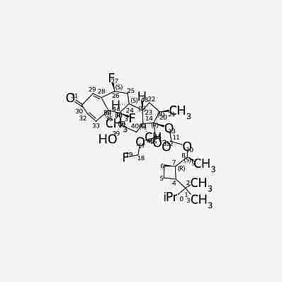 CC(C)C(C)(C)C1CC[C@H]1[C@H](C)OC(=O)O[C@]1(C(=O)OCF)[C@H](C)C[C@H]2[C@@H]3C[C@H](F)C4=CC(=O)C=C[C@]4(C)[C@@]3(F)[C@@H](O)C[C@@]21C